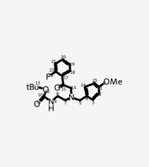 COc1ccc(CN(CCNC(=O)OC(C)(C)C)CC(=O)c2ccccc2F)cc1